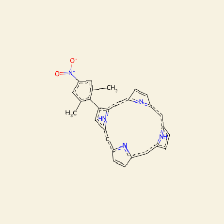 Cc1cc([N+](=O)[O-])cc(C)c1-c1cc2cc3nc(cc4ccc(cc5nc(cc1[nH]2)C=C5)[nH]4)C=C3